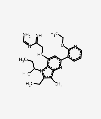 CCOc1ncccc1-c1cc(NCC(=N)/N=C\N)c2c(n1)c(C)c(CC)n2C(C)CC